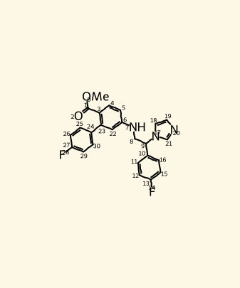 COC(=O)c1ccc(NCC(c2ccc(F)cc2)n2ccnc2)cc1-c1ccc(F)cc1